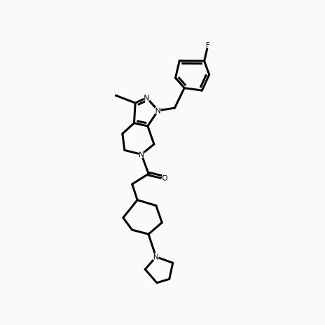 Cc1nn(Cc2ccc(F)cc2)c2c1CCN(C(=O)CC1CCC(N3CCCC3)CC1)C2